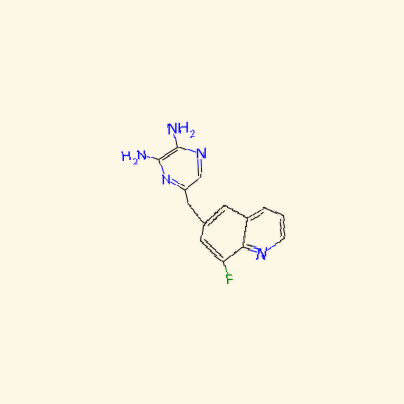 Nc1ncc(Cc2cc(F)c3ncccc3c2)nc1N